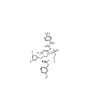 CCCCS(=O)(=O)C[C@@H](NC(=O)c1ccc(O)nc1)C(=O)O[C@H](CNCc1cccc(CC)c1)[C@@H](N)Cc1cc(F)cc(F)c1